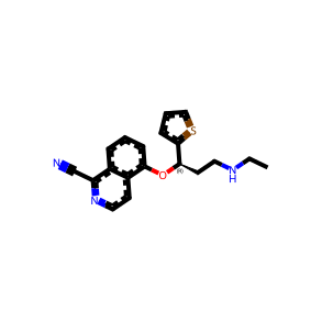 CCNCC[C@@H](Oc1cccc2c(C#N)nccc12)c1cccs1